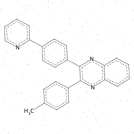 Cc1ccc(-c2nc3ccccc3nc2-c2ccc(-c3ccccn3)cc2)cc1